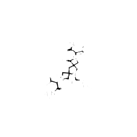 C[C@@H](O)C(C(N)=O)N1CC2(CN(C(=O)OC(C)(C)C)C3(CN([C@H](C(N)=O)[C@@H](C)O)C3=O)C2)C1=O